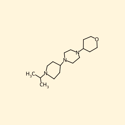 CC(C)N1CCC(N2CCN(C3CCOCC3)CC2)CC1